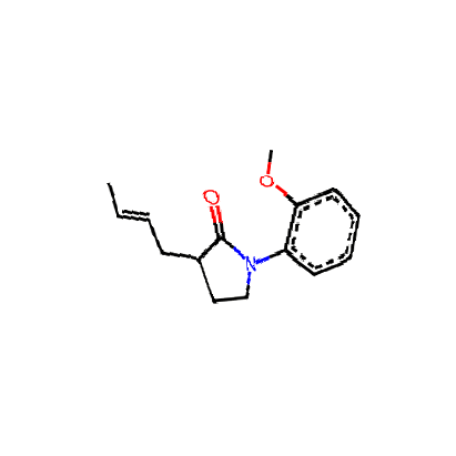 CC=CCC1CCN(c2ccccc2OC)C1=O